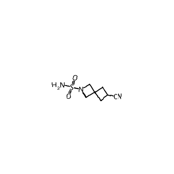 N#CC1CC2(C1)CN(S(N)(=O)=O)C2